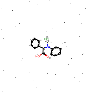 CN(c1ccccc1)C(C(=O)O)c1ccccc1.Cl